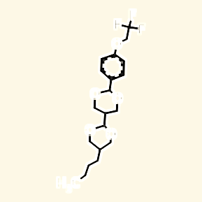 CCCCC1COC(C2COC(c3ccc(OCC(F)(F)F)cc3)OC2)OC1